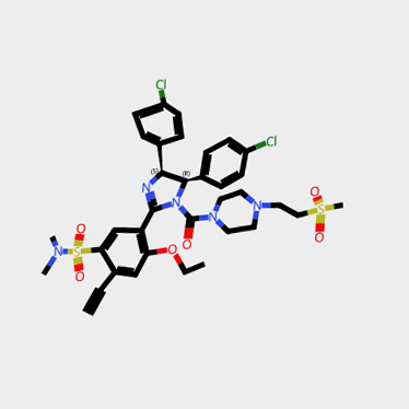 C#Cc1cc(OCC)c(C2=N[C@@H](c3ccc(Cl)cc3)[C@@H](c3ccc(Cl)cc3)N2C(=O)N2CCN(CCS(C)(=O)=O)CC2)cc1S(=O)(=O)N(C)C